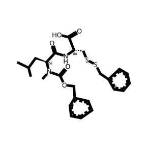 CC(C)C[C@@H](C(=O)N[C@@H](CSSCc1ccccc1)C(=O)O)N(C)C(=O)OCc1ccccc1